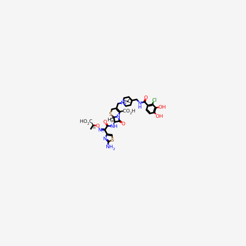 C[C@H](O/N=C(\C(=O)N[C@@H]1C(=O)N2C(C(=O)O)=C(C[N+]34CCC(CNC(=O)c5ccc(O)c(O)c5Cl)(CC3)CC4)CS[C@H]12)c1csc(N)n1)C(=O)O